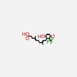 C/C(=C\CC1C(O)C=CC(=O)C1C(F)(F)F)CC/C=C(\C)CCC(=O)O